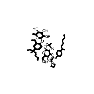 CCCCCC(C)C1CCC(C[C@H](OC2C(NC(C)=O)[C@H](O[C@@H]3CC(C(I)(CC)CCCC)CC(CC)[C@H]3O[C@@H]3OC(C)[C@@H](O)C(O)C3O)OC(CO)[C@@H]2O)C(=O)N2CCC2)CC1